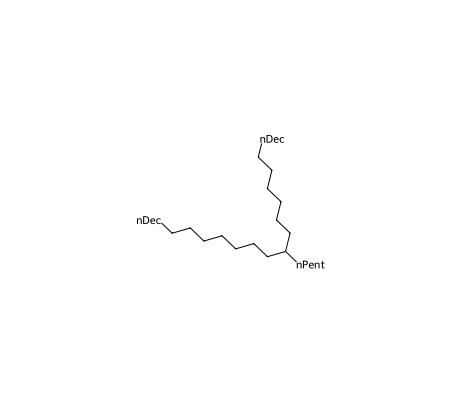 [CH2]CCCCC(CCCCCCCCCCCCCCCC)CCCCCCCCCCCCCCCCC